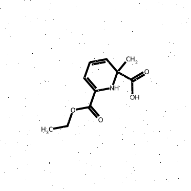 CCOC(=O)C1=CC=CC(C)(C(=O)O)N1